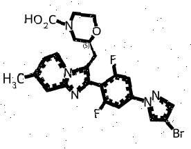 Cc1ccn2c(C[C@H]3CN(C(=O)O)CCO3)c(-c3c(F)cc(-n4cc(Br)cn4)cc3F)nc2c1